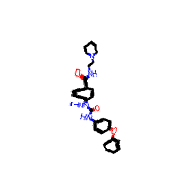 O=C(Nc1ccc(Oc2ccccc2)cc1)Nc1ccc(C(=O)NCCN2CCCCC2)cc1